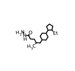 CCC1CCCC1C1CCC(CC(C)CCC(=O)NN)CC1